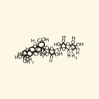 C[C@@H]1O[C@@H](O[C@H]2[C@H](O)[C@@H](O)[C@H](OC[C@H]3O[C@@H](OC(=O)[C@]45CC[C@@](C)(O)C[C@H]4C4=CC[C@@H]6[C@@]7(C)CC[C@H](O)[C@@](C)(CO)[C@@H]7CC[C@@]6(C)[C@]4(C)CC5)[C@H](O)[C@@H](O)[C@@H]3O)O[C@@H]2CO)[C@H](O)[C@H](O)[C@H]1O